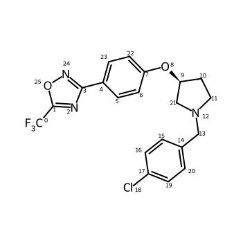 FC(F)(F)c1nc(-c2ccc(O[C@H]3CCN(Cc4ccc(Cl)cc4)C3)cc2)no1